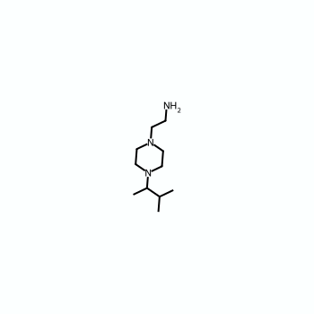 CC(C)C(C)N1CCN(CCN)CC1